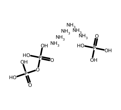 N.N.N.N.N.N.O=P(O)(O)O.O=P(O)(O)OP(=O)(O)O